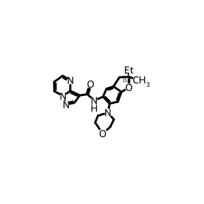 CC[C@@]1(C)Cc2cc(NC(=O)c3cnn4cccnc34)c(N3CCOCC3)cc2O1